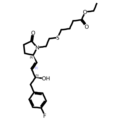 CCOC(=O)CCCSCCN1C(=O)CC[C@@H]1/C=C/[C@@H](O)Cc1ccc(F)cc1